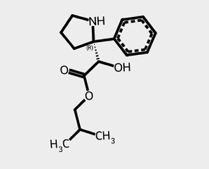 CC(C)COC(=O)C(O)[C@]1(c2ccccc2)CCCN1